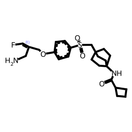 NC/C(=C\F)COc1ccc(S(=O)(=O)CC23CCC(NC(=O)C4CCC4)(CC2)CC3)cc1